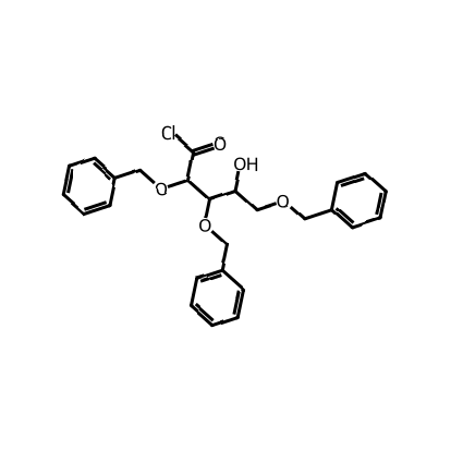 O=C(Cl)C(OCc1ccccc1)C(OCc1ccccc1)C(O)COCc1ccccc1